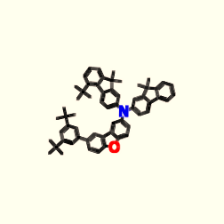 CC(C)(C)c1cc(-c2ccc3oc4ccc(N(c5ccc6c(c5)C(C)(C)c5ccccc5-6)c5ccc6c(c5)C(C)(C)c5cccc(C(C)(C)C)c5-6)cc4c3c2)cc(C(C)(C)C)c1